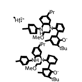 COCCN(c1cc(C(C)C)ccc1Nc1ccc(C)cc1)c1ccccc1-c1cc(C)cc(C(C)(C)C)c1[O-].COCCN(c1cc(C(C)C)ccc1Nc1ccc(C)cc1)c1ccccc1-c1cc(C)cc(C(C)(C)C)c1[O-].[CH3][Hf+2][CH3]